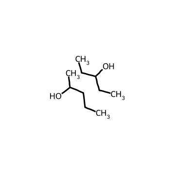 CCC(O)CC.CCCC(C)O